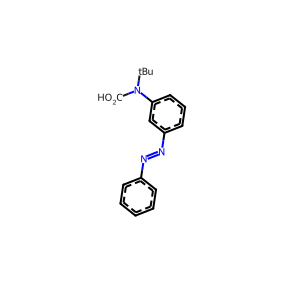 CC(C)(C)N(C(=O)O)c1cccc(N=Nc2ccccc2)c1